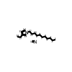 C#N.CCCCCCCCCCCn1ccc(CC)c1